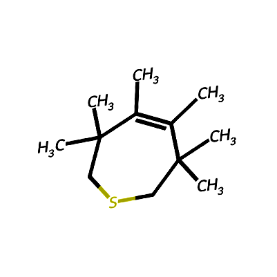 CC1=C(C)C(C)(C)CSCC1(C)C